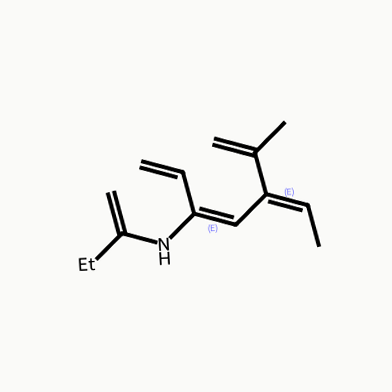 C=C/C(=C\C(=C/C)C(=C)C)NC(=C)CC